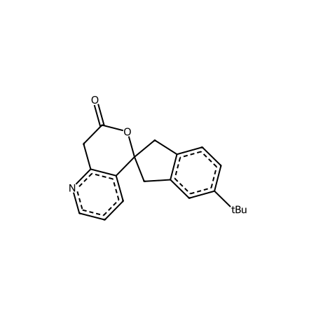 CC(C)(C)c1ccc2c(c1)CC1(C2)OC(=O)Cc2ncccc21